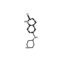 O=c1ccc2cc(NC3CCNCC3)ccc2[nH]1